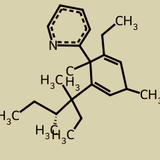 CCC1=CC(C)C=C(C(C)(CC)[C@H](C)CC)C1(C)c1ccccn1